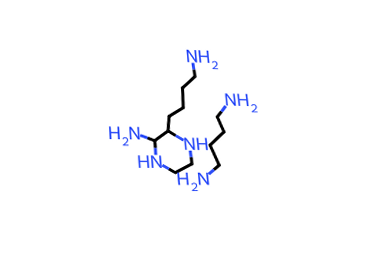 NCCCCC1NCCNC1N.NCCCCN